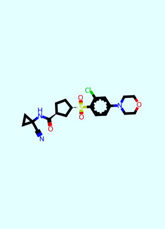 N#CC1(NC(=O)[C@H]2CC[C@H](S(=O)(=O)c3ccc(N4CCOCC4)cc3Cl)C2)CC1